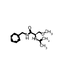 C=C(C)N[C@H](COC)C(=O)NCc1ccccc1